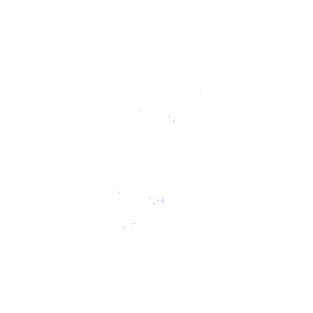 O=C1CCCCN1c1ccc(NC(=O)C(F)(F)F)cc1